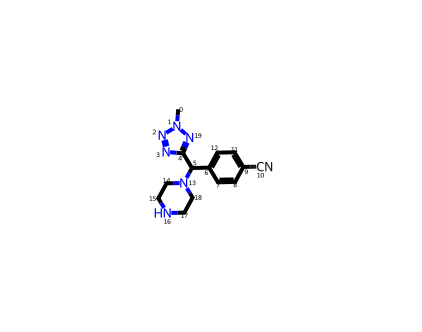 Cn1nnc(C(c2ccc(C#N)cc2)N2CCNCC2)n1